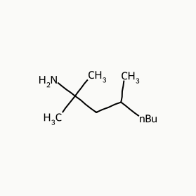 CCCCC(C)CC(C)(C)N